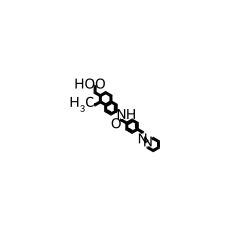 CCC1c2ccc(NC(=O)c3ccc(C=NN4CCCCC4)cc3)cc2CCC1CC(=O)O